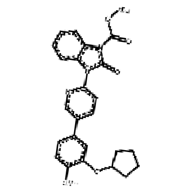 COc1ccc(-c2ccc(-n3c(=O)n(C(=O)OC(C)(C)C)c4ccccc43)nc2)cc1OC1CCCC1